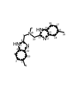 Cc1ccc2[nH]c(CN(C)Cc3nc4cc(C)ccc4[nH]3)nc2c1